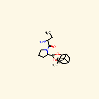 CCC(N)C(=O)N1CCCC1B1OC2C3CC(C[C@]2(C)O1)C3(C)C